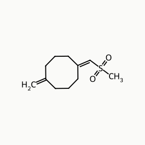 C=C1CCCC(=CS(C)(=O)=O)CCC1